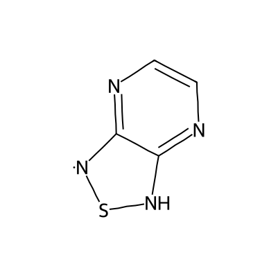 c1cnc2c(n1)[N]SN2